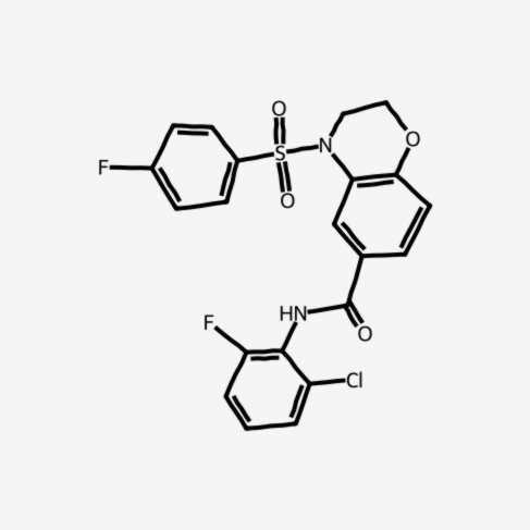 O=C(Nc1c(F)cccc1Cl)c1ccc2c(c1)N(S(=O)(=O)c1ccc(F)cc1)CCO2